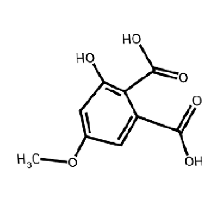 COc1cc(O)c(C(=O)O)c(C(=O)O)c1